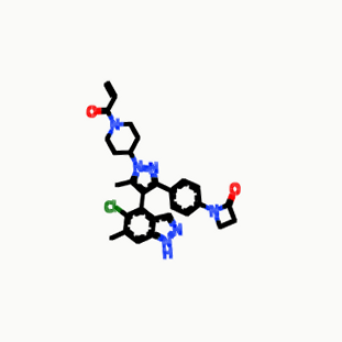 C=CC(=O)N1CCC(n2nc(-c3ccc(N4CCC4=O)cc3)c(-c3c(Cl)c(C)cc4[nH]ncc34)c2C)CC1